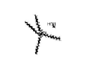 CCC(=O)O.CCCCCCCCCCCCSC(SCCCCCCCCCCCC)C(SCCCCCCCCCCCC)(SCCCCCCCCCCCC)C(=O)O